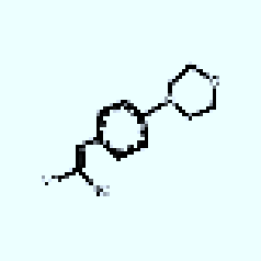 [C-]#[N+]/C(C#N)=C\c1ccc(N2CCOCC2)cc1